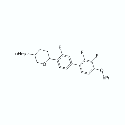 CCCCCCCC1CCC(c2ccc(-c3ccc(OCCC)c(F)c3F)cc2F)OC1